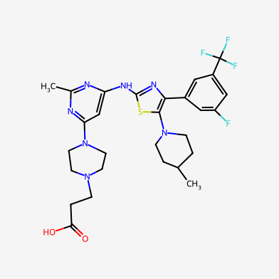 Cc1nc(Nc2nc(-c3cc(F)cc(C(F)(F)F)c3)c(N3CCC(C)CC3)s2)cc(N2CCN(CCC(=O)O)CC2)n1